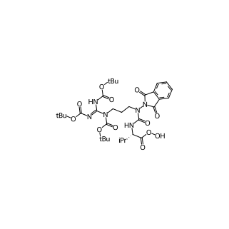 CC(C)[C@H](NC(=O)N(CCCN(C(=O)OC(C)(C)C)/C(=N/C(=O)OC(C)(C)C)NC(=O)OC(C)(C)C)N1C(=O)c2ccccc2C1=O)C(=O)OO